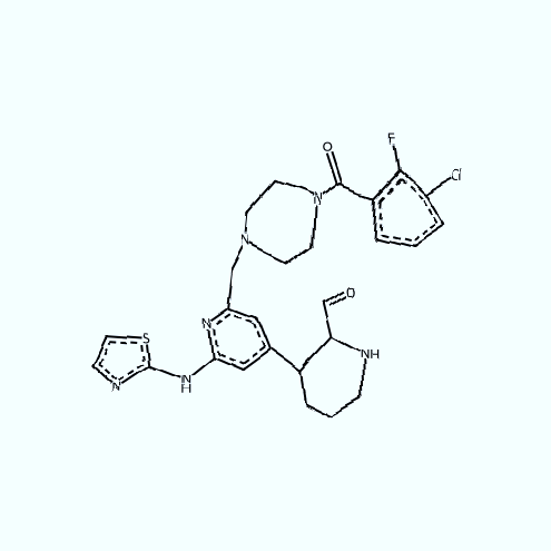 O=CC1NCCCC1c1cc(CN2CCN(C(=O)c3cccc(Cl)c3F)CC2)nc(Nc2nccs2)c1